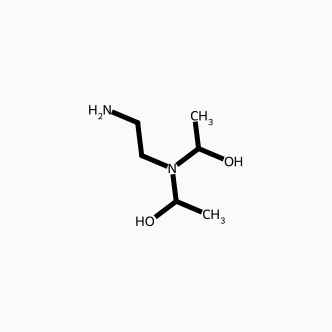 CC(O)N(CCN)C(C)O